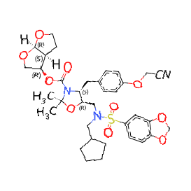 CC1(C)O[C@H](CN(CC2CCCC2)S(=O)(=O)c2ccc3c(c2)OCO3)[C@H](Cc2ccc(OCC#N)cc2)N1C(=O)O[C@H]1CO[C@H]2OCC[C@H]21